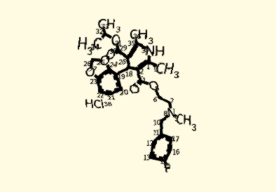 CC1=C(C(=O)OCCN(C)Cc2ccc(F)cc2)C(c2cccc3c2OCO3)C(C(=O)OC(C)C)=C(C)N1.Cl